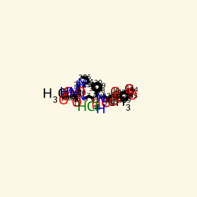 C[C@@](O)(CN[C@@H](CCCNC(=O)[C@@H](CS(C)(=O)=O)NC(=O)CN1CCCC1)c1ccccc1)CS(=O)(=O)c1ccc2c(c1)OCO2.Cl